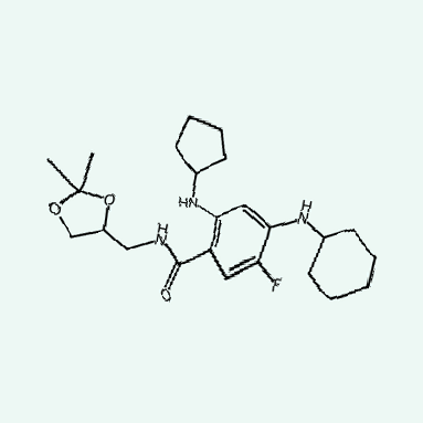 CC1(C)OCC(CNC(=O)c2cc(F)c(NC3CCCCC3)cc2NC2CCCC2)O1